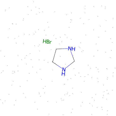 Br.C1CNCN1